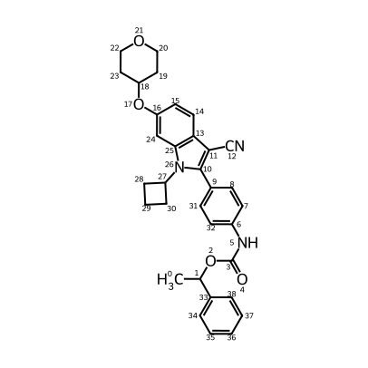 CC(OC(=O)Nc1ccc(-c2c(C#N)c3ccc(OC4CCOCC4)cc3n2C2CCC2)cc1)c1ccccc1